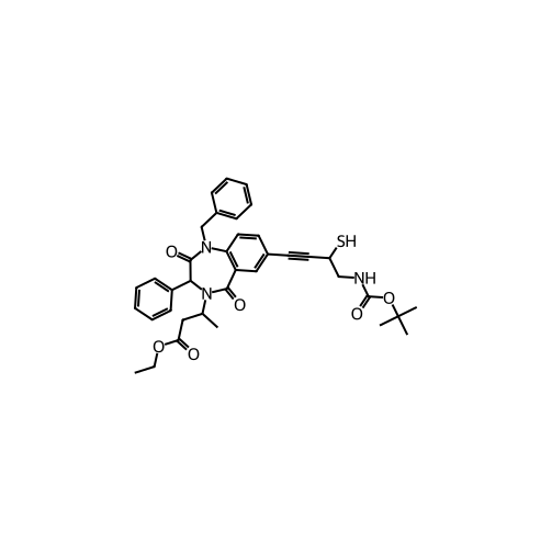 CCOC(=O)CC(C)N1C(=O)c2cc(C#CC(S)CNC(=O)OC(C)(C)C)ccc2N(Cc2ccccc2)C(=O)C1c1ccccc1